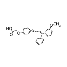 COc1cccc(C(=CCSc2ccc(OCC(=O)O)cc2)c2ccccc2)c1